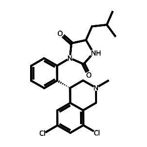 CC(C)CC1NC(=O)N(c2ccccc2[C@@H]2CN(C)Cc3c(Cl)cc(Cl)cc32)C1=O